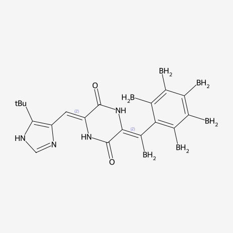 B/C(c1c(B)c(B)c(B)c(B)c1B)=c1/[nH]c(=O)/c(=C/c2nc[nH]c2C(C)(C)C)[nH]c1=O